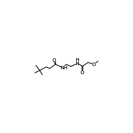 COCC(=O)NCCNC(=O)CCC(C)(C)C